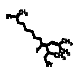 C=C(CCCCCC/C(F)=C(\C=C(C)C)C(C)CC(C)C)C(C)C